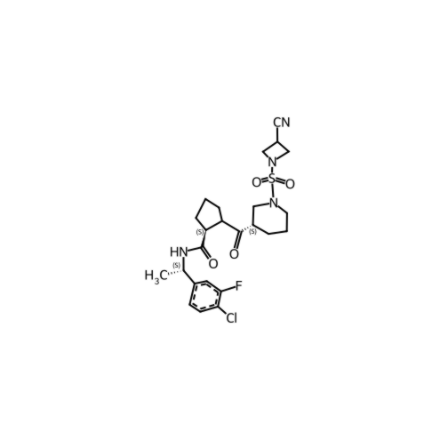 C[C@H](NC(=O)[C@H]1CCCC1C(=O)[C@H]1CCCN(S(=O)(=O)N2CC(C#N)C2)C1)c1ccc(Cl)c(F)c1